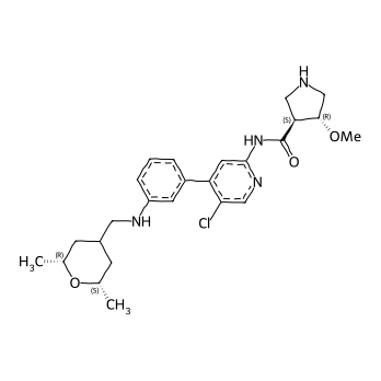 CO[C@H]1CNC[C@@H]1C(=O)Nc1cc(-c2cccc(NCC3C[C@@H](C)O[C@@H](C)C3)c2)c(Cl)cn1